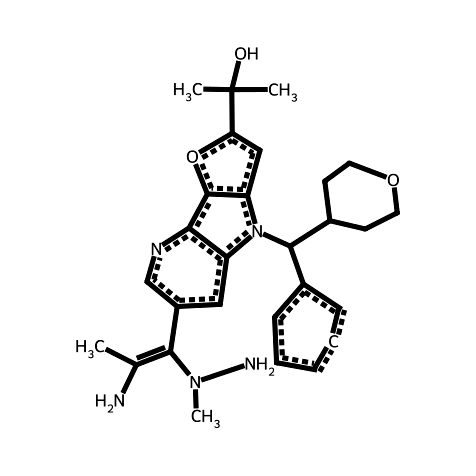 C/C(N)=C(\c1cnc2c3oc(C(C)(C)O)cc3n(C(c3ccccc3)C3CCOCC3)c2c1)N(C)N